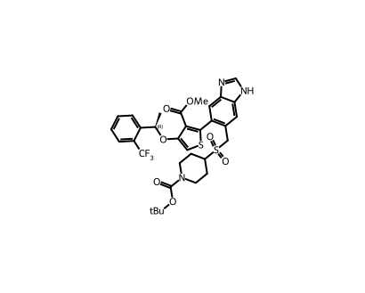 COC(=O)c1c(O[C@H](C)c2ccccc2C(F)(F)F)csc1-c1cc2nc[nH]c2cc1CS(=O)(=O)C1CCN(C(=O)OC(C)(C)C)CC1